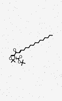 CCCCCCCCCCCCCC=CC(=O)C1=COC(C)(C)N1C(=O)OC(C)(C)C